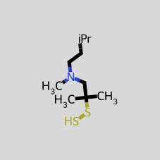 CC(C)CCN(C)CC(C)(C)SS